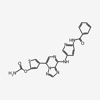 NC(=O)Oc1cc(-c2cnc(Nc3ccc(NC(=O)c4ccccc4)nc3)c3ncnn23)cs1